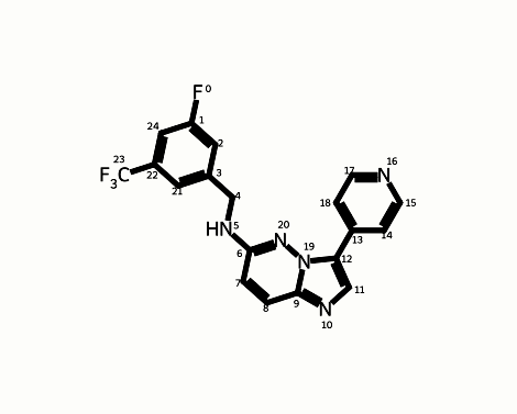 Fc1cc(CNc2ccc3ncc(-c4ccncc4)n3n2)cc(C(F)(F)F)c1